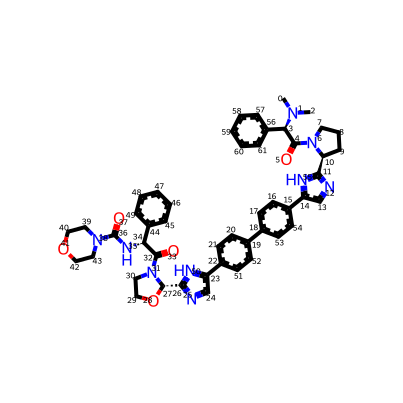 CN(C)[C@@H](C(=O)N1CCC[C@H]1c1ncc(-c2ccc(-c3ccc(-c4cnc([C@@H]5OCCN5C(=O)[C@H](NC(=O)N5CCOCC5)c5ccccc5)[nH]4)cc3)cc2)[nH]1)c1ccccc1